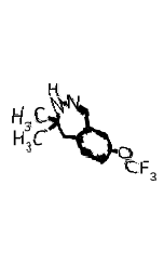 CC1(C)Cc2ccc(OC(F)(F)F)cc2C=NN1